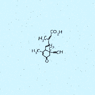 C#CC1(C)CC(=O)C=C(C)C1/C=C/C(C)=C/C(=O)O